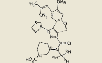 [2H]C([2H])([2H])N(C(=O)c1nn(-c2ccsc2)c2c1COc1cc(OC)c(C=C(C)C)cc1-2)[C@@H]1CCC[C@H](C(=O)O)C1